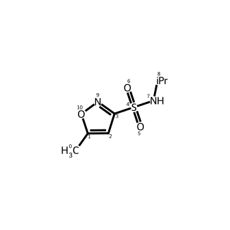 Cc1cc(S(=O)(=O)NC(C)C)no1